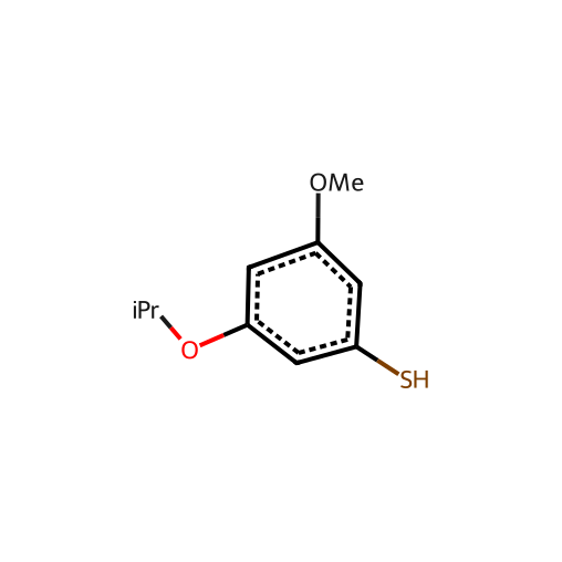 COc1cc(S)cc(OC(C)C)c1